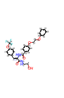 O=C(NCCO)/C(=C/c1ccc(OC(F)(F)F)cc1)NC(=O)c1ccc(OCCOc2ccccc2)cc1